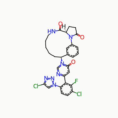 O=C1NCCCCC[C@H](n2cnc(-c3c(-n4cc(Cl)nn4)ccc(Cl)c3F)cc2=O)c2cccc(c2)N2C(=O)CC[C@H]12